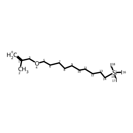 C=C(C)COCCCCCCCCCC[Si](I)(I)I